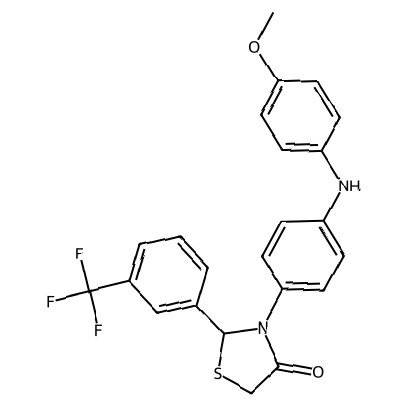 COc1ccc(Nc2ccc(N3C(=O)CSC3c3cccc(C(F)(F)F)c3)cc2)cc1